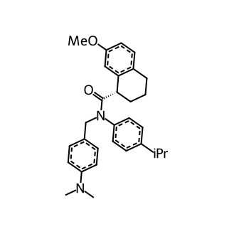 COc1ccc2c(c1)[C@@H](C(=O)N(Cc1ccc(N(C)C)cc1)c1ccc(C(C)C)cc1)CCC2